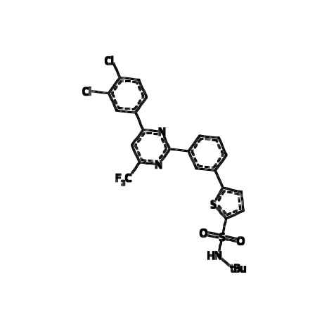 CC(C)(C)NS(=O)(=O)c1ccc(-c2cccc(-c3nc(-c4ccc(Cl)c(Cl)c4)cc(C(F)(F)F)n3)c2)s1